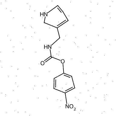 O=C(NCC1=CC=CNC1)Oc1ccc([N+](=O)[O-])cc1